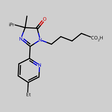 CCc1ccc(C2=NC(C)(C(C)C)C(=O)N2CCCCC(=O)O)nc1